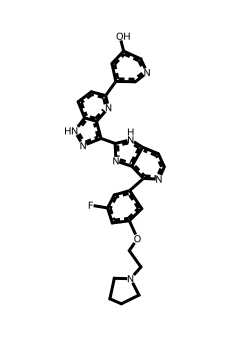 Oc1cncc(-c2ccc3[nH]nc(-c4nc5c(-c6cc(F)cc(OCCN7CCCC7)c6)nccc5[nH]4)c3n2)c1